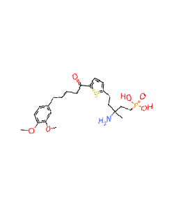 COc1ccc(CCCCC(=O)c2ccc(CCC(C)(N)CCP(=O)(O)O)s2)cc1OC